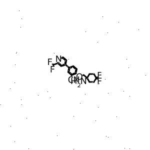 N#Cc1cc(-c2ccnc(C(F)F)c2)ccc1OCC1(N)CCC(F)(F)CC1